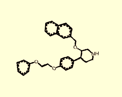 c1ccc(OCCOc2ccc(C3CCNCC3OCc3ccc4ccccc4c3)cc2)cc1